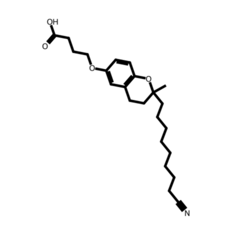 CC1(CCCCCCCCC#N)CCc2cc(OCCCC(=O)O)ccc2O1